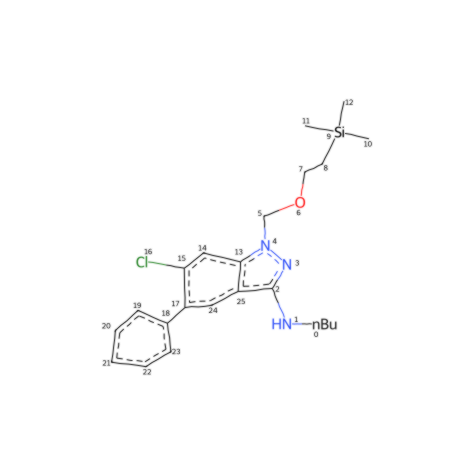 CCCCNc1nn(COCC[Si](C)(C)C)c2cc(Cl)c(-c3ccccc3)cc12